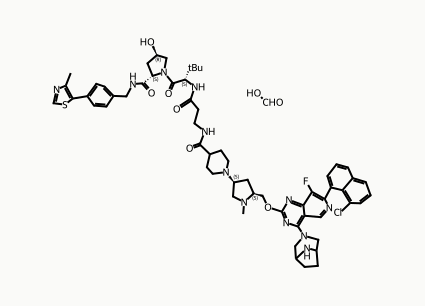 Cc1ncsc1-c1ccc(CNC(=O)[C@@H]2C[C@@H](O)CN2C(=O)[C@@H](NC(=O)CCNC(=O)C2CCN([C@H]3C[C@@H](COc4nc(N5CC6CCC(C5)N6)c5cnc(-c6cccc7cccc(Cl)c67)c(F)c5n4)N(C)C3)CC2)C(C)(C)C)cc1.O=CO